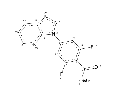 COC(=O)c1c(F)cc(-n2nnc3cccnc32)cc1F